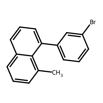 Cc1cccc2cccc(-c3cccc(Br)c3)c12